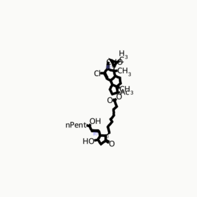 CCCCCC(O)/C=C/C1C(O)CC(=O)[C@@H]1CCCCCCCC(=O)O[C@]1(C(C)=O)CCC2C3C=C(Cl)/C(=C/C=O)C(C)([C@H]4CC4C)C3CCC21C